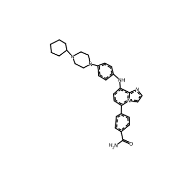 NC(=O)c1ccc(-c2ccc(Nc3ccc(N4CCN(C5CCCCC5)CC4)cc3)c3nccn23)cc1